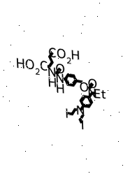 CCN(C(=O)OCc1ccc(NC(=O)NC(CCC(=O)O)C(=O)O)cc1)c1ccc(N(CCI)CCI)cc1